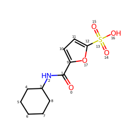 O=C(NC1CCCCC1)c1ccc(S(=O)(=O)O)o1